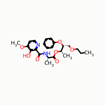 CCCOC[C@@H](Oc1ccccc1)[C@H](C)OC(=O)[C@H](C)NC(=O)c1nccc(OC)c1O